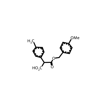 COc1ccc(COC(=O)C(C(=O)O)c2ccc(C)cc2)cc1